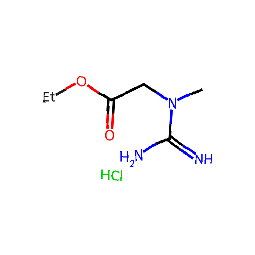 CCOC(=O)CN(C)C(=N)N.Cl